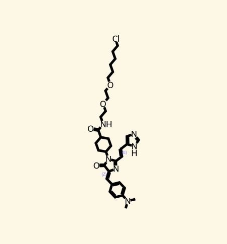 CN(C)c1ccc(/C=C2N=C(/C=C/c3cnc[nH]3)N(C3CCC(C(=O)NCCOCCOCCCCCCCl)CC3)C\2=O)cc1